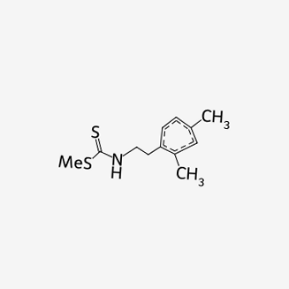 CSC(=S)NCCc1ccc(C)cc1C